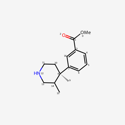 COC(=O)c1cccc([C@]2(C)CCNCC2C)c1